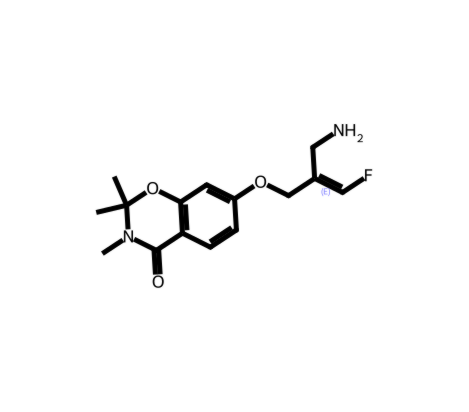 CN1C(=O)c2ccc(OC/C(=C/F)CN)cc2OC1(C)C